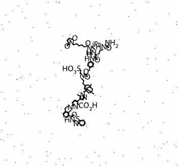 Cc1c(-c2ccc(N3CCc4cccc(C(=O)Nc5nc6ccccc6s5)c4C3)nc2C(=O)O)cnn1CC12CC3(C)CC(C)(CC(CCCN(CCS(=O)(=O)O)C(=O)OCc4ccc(NC(=O)[C@H](CCCNC(N)=O)NCC(NC(=O)CCCCCN5C(=O)C=CC5=O)C(C)C)cc4)(C3)C1)C2